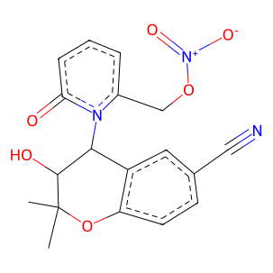 CC1(C)Oc2ccc(C#N)cc2C(n2c(CO[N+](=O)[O-])cccc2=O)C1O